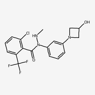 CNN(C(=O)c1c(Cl)cccc1C(F)(F)F)c1cccc(N2CC(O)C2)c1